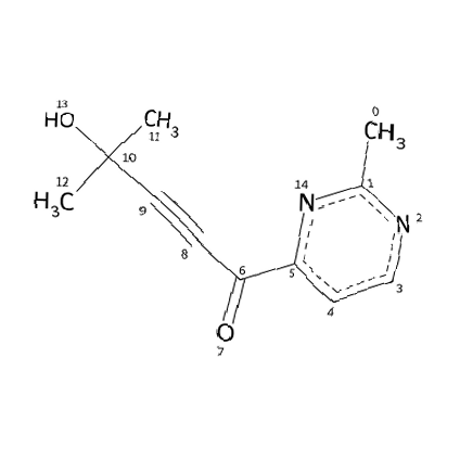 Cc1nccc(C(=O)C#CC(C)(C)O)n1